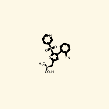 CN(Cc1cc(-c2ccccc2C#N)c(S(=O)(=O)c2cccnc2)s1)C(=O)O